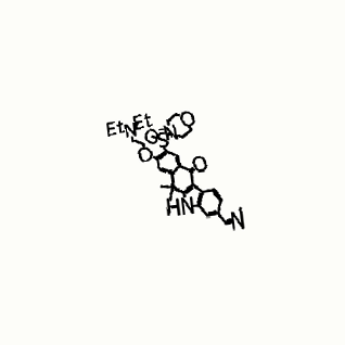 CCN(CC)CCOc1cc2c(cc1[S+]([O-])N1CCOCC1)C(=O)c1c([nH]c3cc(/C=N\C)ccc13)C2(C)C